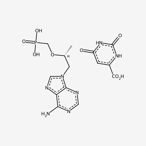 C[C@H](Cn1cnc2c(N)ncnc21)OCP(=O)(O)O.O=C(O)c1cc(=O)[nH]c(=O)[nH]1